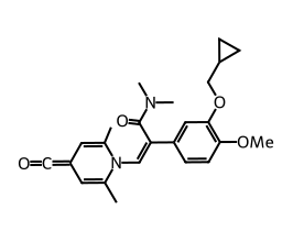 COc1ccc(/C(=C/N2C(C)=CC(=C=O)C=C2C)C(=O)N(C)C)cc1OCC1CC1